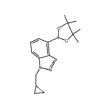 CC1(C)OB(c2cccc3c2cnn3CC2CC2)OC1(C)C